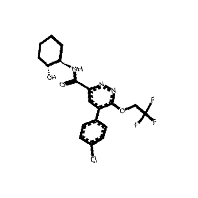 O=C(N[C@@H]1CCCC[C@H]1O)c1cc(-c2ccc(Cl)cc2)c(OCC(F)(F)F)nn1